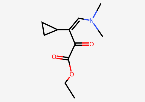 CCOC(=O)C(=O)/C(=C\N(C)C)C1CC1